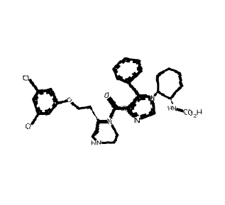 O=C(O)N[C@H]1CCCC[C@@H]1n1cnc(C(=O)N2CCNC[C@H]2CCOc2cc(Cl)cc(Cl)c2)c1-c1ccccc1